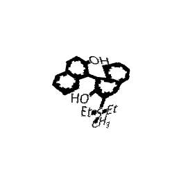 CCS(C)(CC)c1cc2ccccc2c(-c2c(O)ccc3ccccc23)c1O